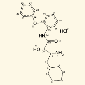 Cl.N[C@H](CC1CCCCC1)C(O)C(=O)Nc1ccccc1Oc1ccccc1